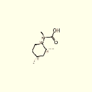 C[C@@H]1CC[C@@H]([C@@H](C)C(=O)O)[C@H](C)C1